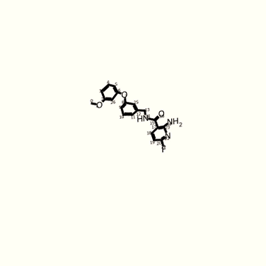 COc1cccc(Oc2cccc(CNC(=O)c3ccc(F)nc3N)c2)c1